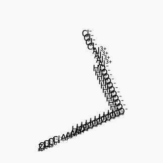 [Al+3].[Al+3].[Al+3].[Al+3].[Al+3].[Al+3].[Al+3].[Al+3].[Cl-].[Cl-].[Cl-].[Cl-].[Cl-].[Cl-].[Cl-].[Cl-].[OH-].[OH-].[OH-].[OH-].[OH-].[OH-].[OH-].[OH-].[OH-].[OH-].[OH-].[OH-].[OH-].[OH-].[OH-].[OH-].[OH-].[OH-].[OH-].[OH-].[Zr+4]